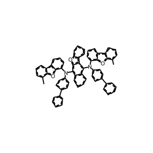 Cc1cccc2c1oc1c(N(c3ccc(-c4ccccc4)cc3)c3c4ccccc4c(N(c4ccc(-c5ccccc5)cc4)c4cccc5c4oc4c(C)cccc45)c4c3oc3ccccc34)cccc12